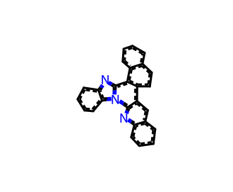 c1ccc2nc3c(cc2c1)c1ccc2ccccc2c1c1nc2ccccc2n31